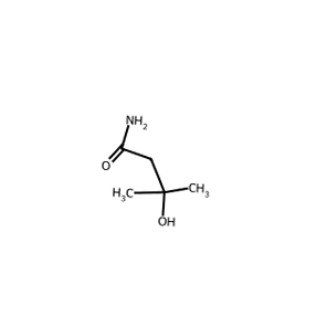 CC(C)(O)CC(N)=O